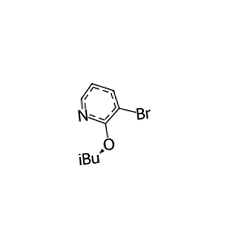 CC[C@H](C)Oc1ncccc1Br